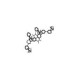 CC1c2cc3c4c(n(-c5ccccc5)c3c3c2-c2c(cc5c6cc(-c7cccc([Si](C)(C)C)c7)ccc6n(-c6ccccc6)c5c2C(C)C3C)C1C)CCC(c1cccc([Si](C)(C)C)c1)=C4